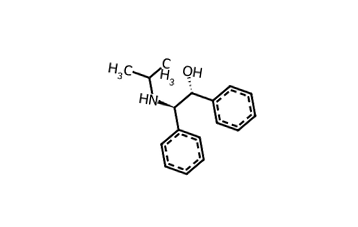 CC(C)N[C@H](c1ccccc1)[C@H](O)c1ccccc1